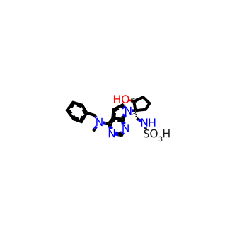 CN(Cc1ccccc1)c1ncnc2c1ccn2[C@]1(CNS(=O)(=O)O)CCC[C@@H]1O